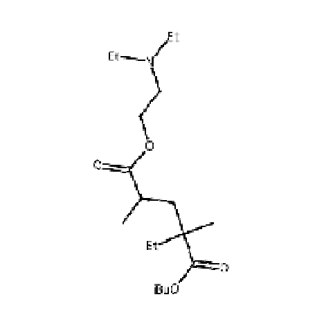 CCN(CC)CCOC(=O)C(C)CC(C)(CC)C(=O)OCC(C)C